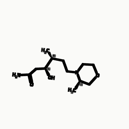 C[C@H](CCN1CCOC[C@H]1C)[C@@H](O)CC(N)=O